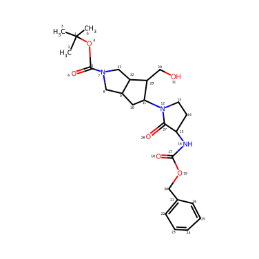 CC(C)(C)OC(=O)N1CC2CC(N3CCC(NC(=O)OCc4ccccc4)C3=O)C(CO)C2C1